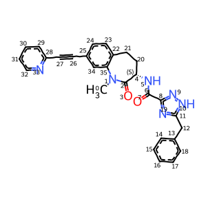 CN1C(=O)[C@@H](NC(=O)c2n[nH]c(Cc3ccccc3)n2)CCc2ccc(C#Cc3ccccn3)cc21